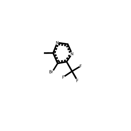 Cc1ncnc(C(F)(F)F)c1Br